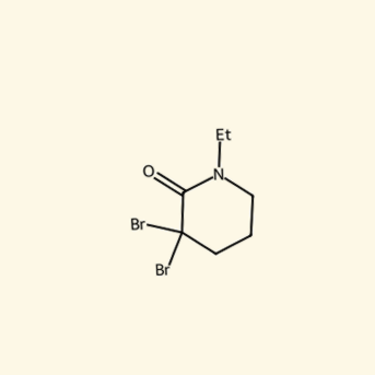 CCN1CCCC(Br)(Br)C1=O